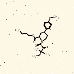 CCCCOC(=O)C1CC(c2ccc(OC)cc2)CCN1C(=O)C(=O)C(C)(C)CC